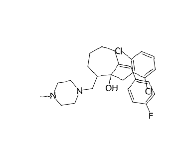 CN1CCN(CC2CCCCC(=Cc3ccc(F)cc3)C2(O)Cc2c(Cl)cccc2Cl)CC1